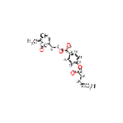 C=[C](C)[Co](=[O])[CH2]CCOC(=O)c1ccc(OC(=O)CCC(=O)O)cc1